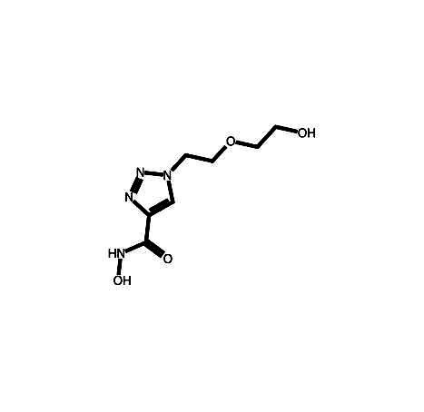 O=C(NO)c1cn(CCOCCO)nn1